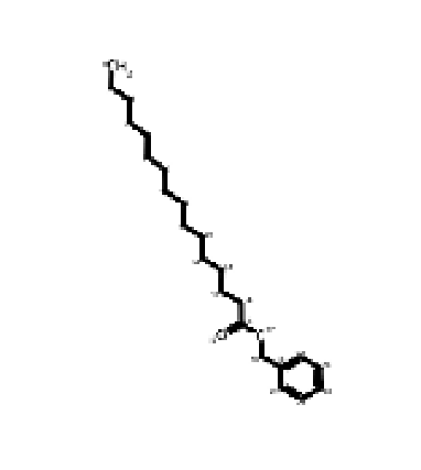 CCCCCCCCCCCCCCCC(=O)OCc1ccccc1